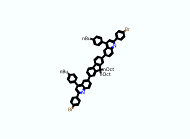 CCCCCCCCC1(CCCCCCCC)c2cc(-c3ccc4nc(-c5ccc(Br)cc5)cc(-c5ccc(CCCC)cc5)c4c3)ccc2-c2ccc(-c3ccc4nc(-c5ccc(Br)cc5)cc(-c5ccc(CCCC)cc5)c4c3)cc21